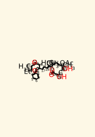 CCC(Oc1ccccc1)C(C)C1OC1CC(C)/C=C/C=C(\C)C1OC(=O)CC(O)CCC(C)(O)C(OC(C)=O)/C=C/C1C